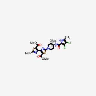 CNc1nc(-c2nc(N3CC[C@@H](NC(=O)c4[nH]c(C)c(Cl)c4Cl)[C@@H](OC)C3)sc2C(=O)OC)c(C(=O)OC)s1